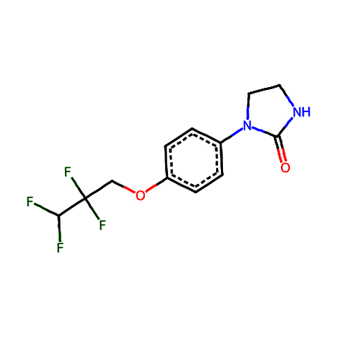 O=C1NCCN1c1ccc(OCC(F)(F)C(F)F)cc1